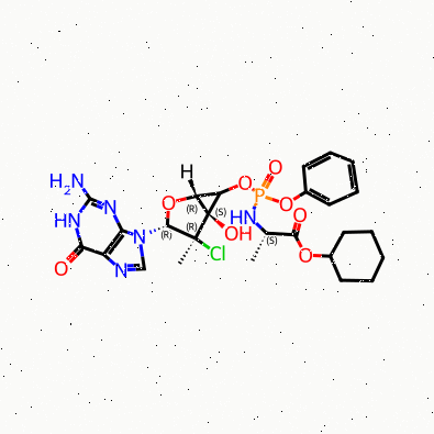 C[C@H](NP(=O)(Oc1ccccc1)OC1[C@H]2O[C@@H](n3cnc4c(=O)[nH]c(N)nc43)[C@](C)(Cl)[C@@]12O)C(=O)OC1CCCCC1